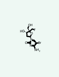 Nc1nc(=O)n([C@H]2C[C@H](O)[C@](CO)(CF)O2)cc1Br